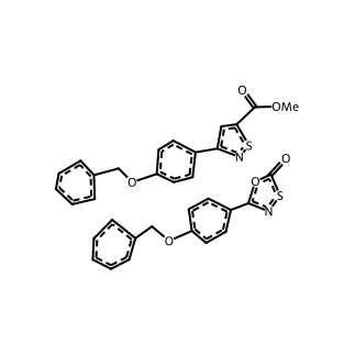 COC(=O)c1cc(-c2ccc(OCc3ccccc3)cc2)ns1.O=c1oc(-c2ccc(OCc3ccccc3)cc2)ns1